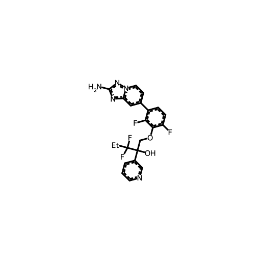 CCC(F)(F)C(O)(COc1c(F)ccc(-c2ccn3nc(N)nc3c2)c1F)c1cccnc1